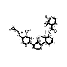 COc1nc(-c2cccc(-c3cccc(NC(=O)c4ccnn(C)c4=O)c3Cl)c2Cl)ccc1CNC1CC1